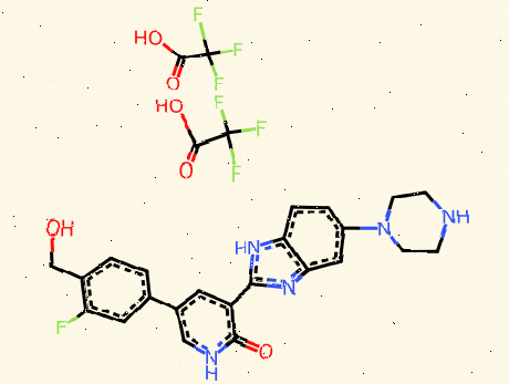 O=C(O)C(F)(F)F.O=C(O)C(F)(F)F.O=c1[nH]cc(-c2ccc(CO)c(F)c2)cc1-c1nc2cc(N3CCNCC3)ccc2[nH]1